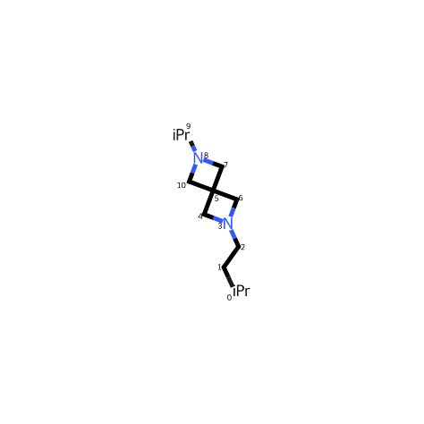 CC(C)CCN1CC2(C1)CN(C(C)C)C2